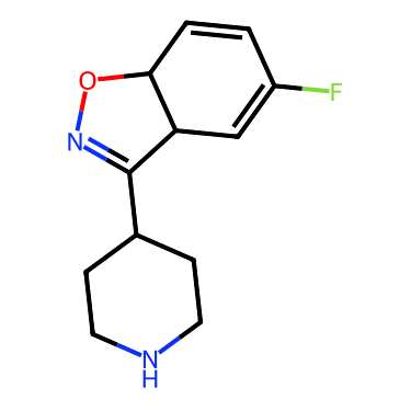 FC1=CC2C(C3CCNCC3)=NOC2C=C1